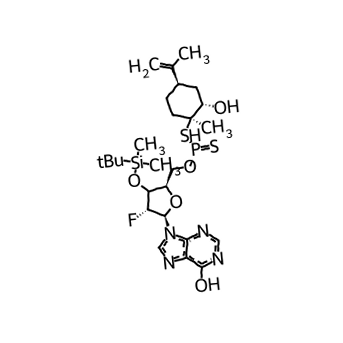 C=C(C)[C@@H]1CC[C@](C)(S[PH](=S)OC[C@H]2O[C@@H](n3cnc4c(O)ncnc43)[C@H](F)C2O[Si](C)(C)C(C)(C)C)[C@@H](O)C1